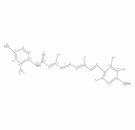 COc1cc(C)c(/C=C/C(C)=C/C=C/C(C)=C/C(=O)Nc2ccc(O)cc2C(F)(F)F)c(C)c1C